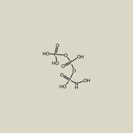 O=P(O)(O)OP(=O)(O)OP(=O)(O)NO